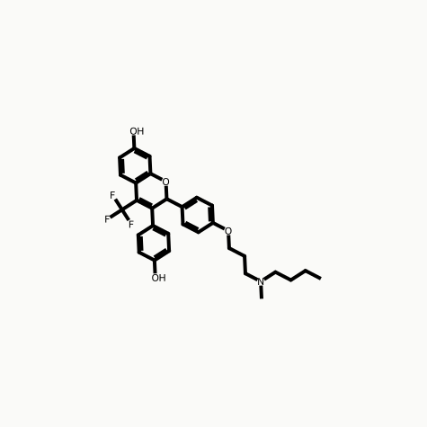 CCCCN(C)CCCOc1ccc(C2Oc3cc(O)ccc3C(C(F)(F)F)=C2c2ccc(O)cc2)cc1